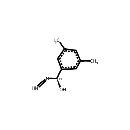 Cc1cc(C)cc([C@@H](O)N=N)c1